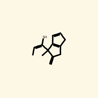 C=C1CC2=C(C=CC2)C1(C)/C(S)=C\C